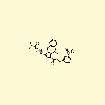 CC(C)C(=O)O/N=C/c1cc(C(=O)CCc2cccc([N+](=O)[O-])c2)c(C(C)C)n1Cc1ccccc1